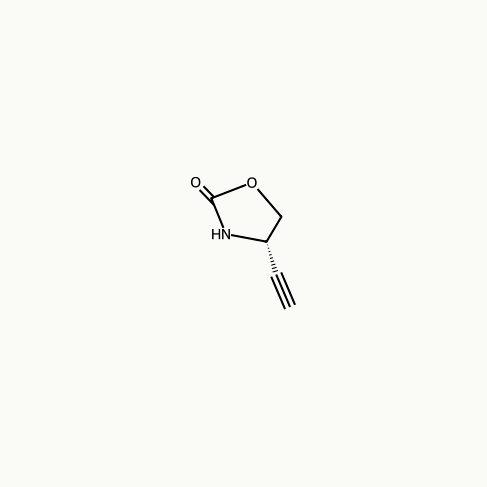 C#C[C@H]1COC(=O)N1